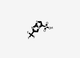 O=S(=O)(O)c1csc2nc(C(F)(F)F)cn12